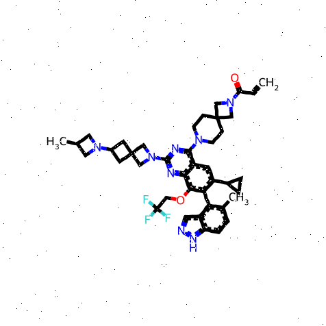 C=CC(=O)N1CC2(CCN(c3nc(N4CC5(CC(N6CC(C)C6)C5)C4)nc4c(OCC(F)(F)F)c(-c5c(C)ccc6[nH]ncc56)c(C5CC5)cc34)CC2)C1